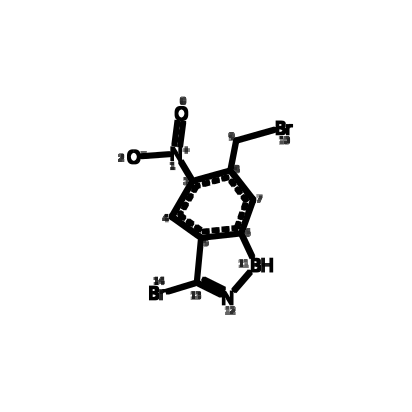 O=[N+]([O-])c1cc2c(cc1CBr)BN=C2Br